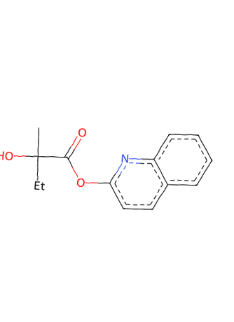 CCC(C)(O)C(=O)Oc1ccc2ccccc2n1